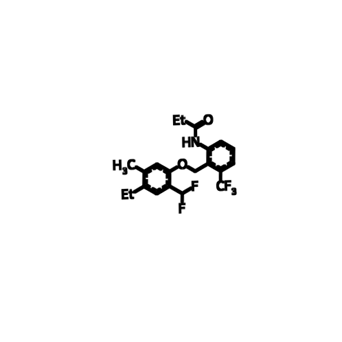 CCC(=O)Nc1cccc(C(F)(F)F)c1COc1cc(C)c(CC)cc1C(F)F